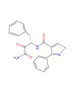 NC(=O)C(=O)[C@H](Cc1ccccc1)NC(=O)c1csnc1-c1ccccc1